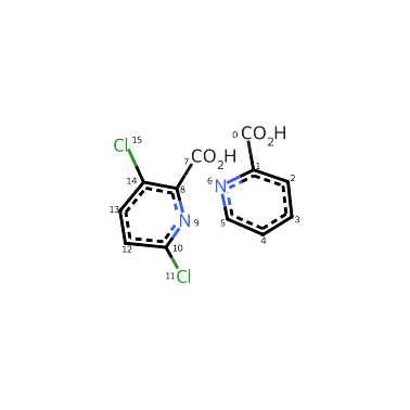 O=C(O)c1ccccn1.O=C(O)c1nc(Cl)ccc1Cl